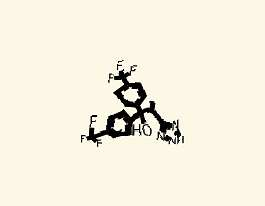 CC(c1nc[nH]n1)C(O)(c1ccc(C(F)(F)F)cc1)c1ccc(C(F)(F)F)cc1